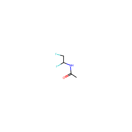 CC(=O)N[C](F)CF